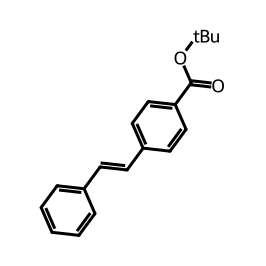 CC(C)(C)OC(=O)c1ccc(C=Cc2ccccc2)cc1